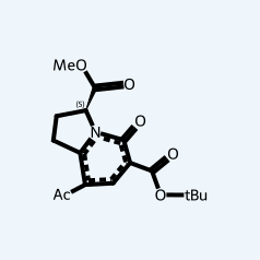 COC(=O)[C@@H]1CCc2c(C(C)=O)cc(C(=O)OC(C)(C)C)c(=O)n21